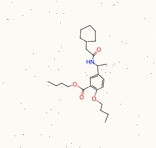 CCCCOC(=O)c1cc(C(C)NC(=O)CC2CCCCC2)ccc1OCCCC